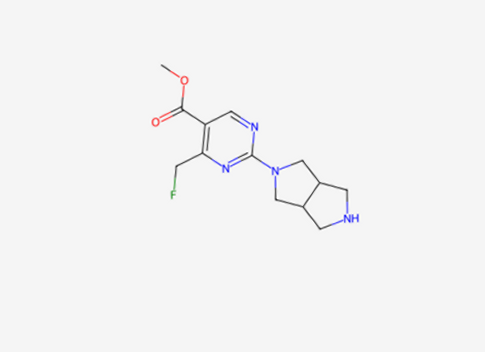 COC(=O)c1cnc(N2CC3CNCC3C2)nc1CF